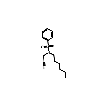 CCCCCCN(CC#N)S(=O)(=O)c1ccccc1